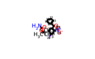 CC(C)(C)OC(N)=O.O=C(c1ccccc1)c1ccc(I)cc1[N+](=O)[O-]